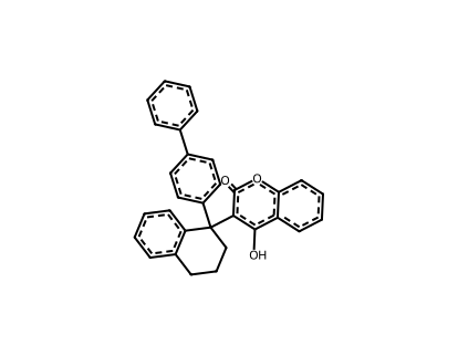 O=c1oc2ccccc2c(O)c1C1(c2ccc(-c3ccccc3)cc2)CCCc2ccccc21